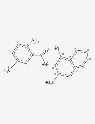 Cc1ccc([N+](=O)[O-])c(C(=O)Nc2c(S(=O)(=O)O)cc3ccccc3c2O)c1